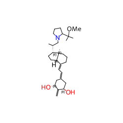 C=C1[C@H](O)CC(=CC=C2CCC[C@]3(C)[C@@H](C(C)CN4CCCC4C(C)(C)OC)CC[C@@H]23)C[C@H]1O